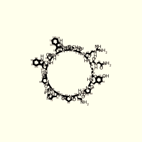 CCCC[C@H]1C(=O)N(C)[C@@H](CCCC)C(=O)N[C@@H](CCCNC(=N)N)C(=O)N[C@H](C(=O)NCC(N)=O)CSCC(=O)N[C@@H](Cc2ccc(O)cc2)C(=O)N2CCC[C@@H]2CN[C@@H](CC(N)=O)C(=O)N2CCC[C@H]2C(=O)N[C@@H](Cc2cnc[nH]2)C(=O)N[C@@H](CC(C)C)C(=O)N2CCC[C@H]2C(=O)N[C@@H](Cc2c[nH]c3ccccc23)C(=O)N[C@@H](CO)C(=O)N[C@@H](Cc2c[nH]c3ccccc23)C(=O)N1C